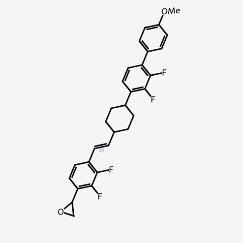 COc1ccc(-c2ccc(C3CCC(/C=C/c4ccc(C5CO5)c(F)c4F)CC3)c(F)c2F)cc1